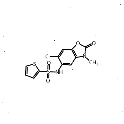 Cn1c(=O)oc2cc(Cl)c(NS(=O)(=O)c3cccs3)cc21